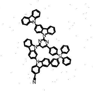 N#Cc1ccc2c(c1)c1ccccc1n2-c1ccc2c3ccccc3n(-c3cc(-c4ccc([Si](c5ccccc5)(c5ccccc5)c5ccccc5)cc4)nc(-n4c5ccccc5c5cc(-n6c7ccccc7c7ccccc76)ccc54)n3)c2c1